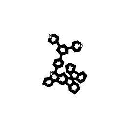 c1ccc2c(c1)-c1ccccc1C21c2ccccc2-c2cc3c(cc21)c(-c1ccc(-c2cc(-c4ccncc4)cc(-c4ccncc4)c2)cc1)nc1ccccc13